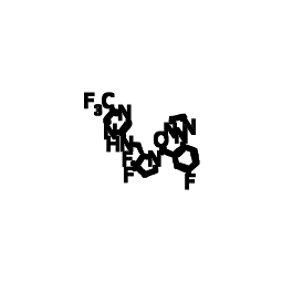 O=C(c1cc(F)ccc1-n1nccn1)N1CCC(F)(F)[C@H]1CNc1cnc(C(F)(F)F)cn1